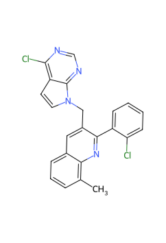 Cc1cccc2cc(Cn3ccc4c(Cl)ncnc43)c(-c3ccccc3Cl)nc12